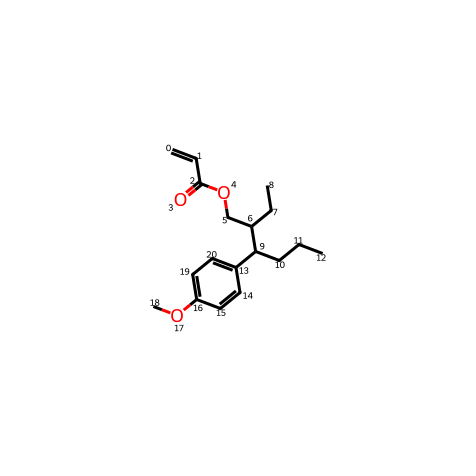 C=CC(=O)OCC(CC)C(CCC)c1ccc(OC)cc1